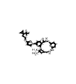 CC1(C)CC2CNNc3cccc(n3)SNC(=O)c3ccc(-n4ccc(OCCC5(C(F)(F)F)CC5)n4)nc3N1C2